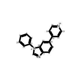 c1ccc(-n2cnc3ccc(-c4ccncc4)cc32)cc1